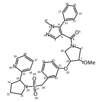 COC1CN(C(=O)c2cnn(C)c2-c2ccccc2)CC1Oc1cccc(CS(=O)(=O)N2CCCC2c2ccccn2)c1